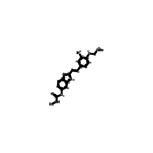 CCNC(=O)Oc1ccc2nc(C=Cc3ccc(OCOC)c(Br)c3)sc2c1